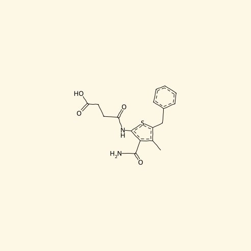 Cc1c(Cc2ccccc2)sc(NC(=O)CCC(=O)O)c1C(N)=O